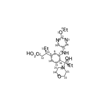 CCOc1ncc(Nc2cc([C@H](CC)CC(=O)O)ccc2[C@@](O)(CC)N2CCOCC2)cn1